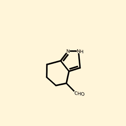 O=CC1CCCc2n[nH]cc21